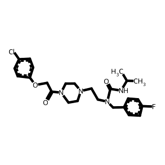 CC(C)NC(=O)N(CCN1CCN(C(=O)COc2ccc(Cl)cc2)CC1)Cc1ccc(F)cc1